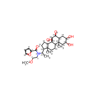 COCCN(C(=O)c1ccco1)C(C)C1CC[C@@]2(O)C3=CC(=O)C4CC(O)C(O)CC4(C)C3CCC12C